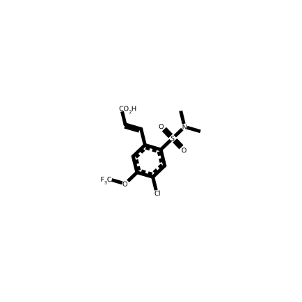 CN(C)S(=O)(=O)c1cc(Cl)c(OC(F)(F)F)cc1C=CC(=O)O